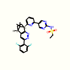 CCS(=O)(=O)Nc1ncc(-c2cccc([C@@]34CC[C@@H](c5cc(-c6c(F)cccc6F)nnc53)C4(C)C)n2)cn1